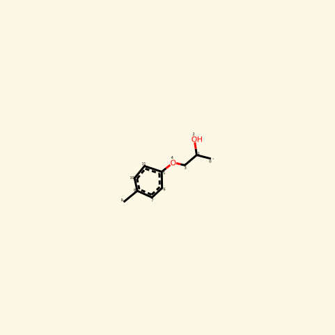 [CH2]C(O)COc1ccc(C)cc1